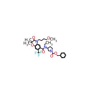 CCN(C(=O)c1cc2c(cc1C(F)(F)F)OC(C)(C)C(=O)N2CCCCOC)C1CCN(C(=O)OCc2ccccc2)C1